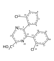 O=C(O)c1cnc(-c2ccccc2Cl)c(-c2ccccc2Cl)n1